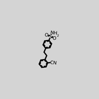 N#Cc1ccccc1CCc1ccc(S(N)(=O)=O)cc1